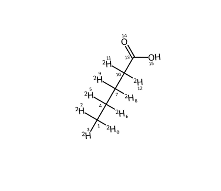 [2H]C([2H])([2H])C([2H])([2H])C([2H])([2H])C([2H])([2H])C(=O)O